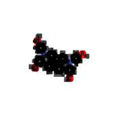 COc1ccc(N(c2ccc(OC)cc2)c2ccc3c(c2)C(c2ccccc2)(c2ccccc2)c2cc(N(c4ccc(OC)cc4)c4ccc(OC)cc4)ccc2-3)cc1